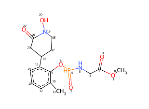 COC(=O)CN[PH](=O)Oc1c(C)cccc1C1CCN(O)C(=O)C1